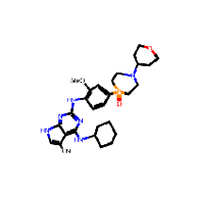 COc1cc(P2(=O)CCN(C3CCOCC3)CC2)ccc1Nc1nc(NC2CCCCC2)c2c(C#N)c[nH]c2n1